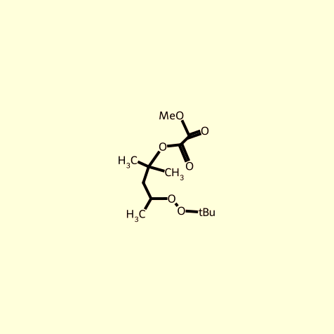 COC(=O)C(=O)OC(C)(C)CC(C)OOC(C)(C)C